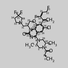 C=CC(=O)N1C[C@H](C)N(c2nc(=O)n3c4c(c(C(=C)/C(F)=C\CF)c(Cl)cc24)OCC3CN2CCC(F)(F)C2)C[C@H]1C